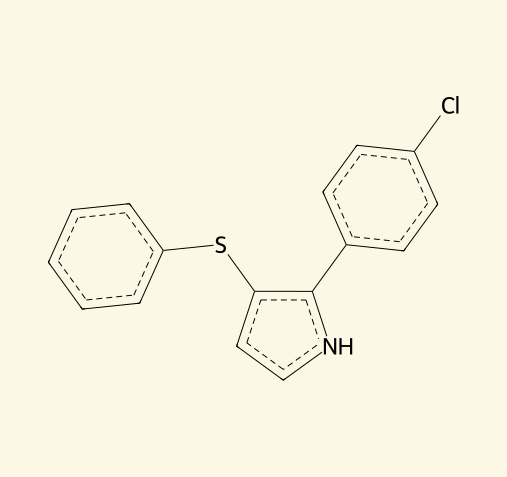 Clc1ccc(-c2[nH]ccc2Sc2ccccc2)cc1